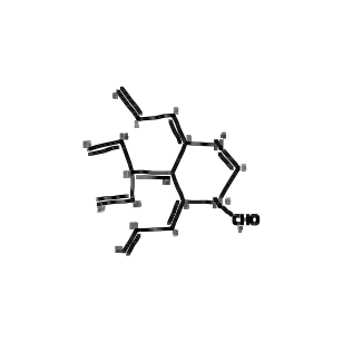 C=C/C=C1/N=CN(C=O)/C(=C/C=C)C1=C(C=C)C=C